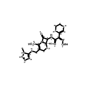 CO/N=C(\C(=O)NC1C(=O)N2C(C(=O)O)=C(CSc3nnnn3C)CS[C@H]12)C1=CSCCS1